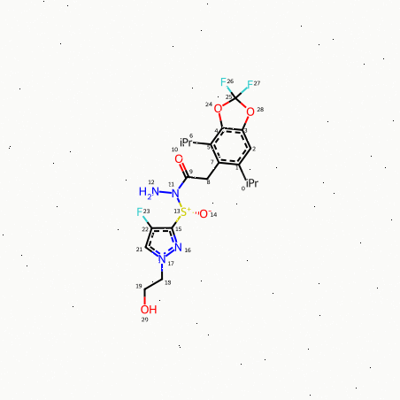 CC(C)c1cc2c(c(C(C)C)c1CC(=O)N(N)[S@+]([O-])c1nn(CCO)cc1F)OC(F)(F)O2